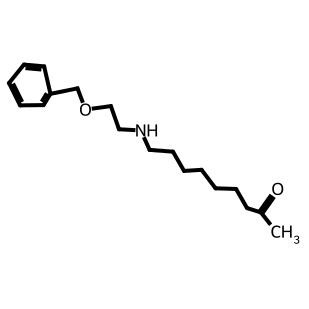 CC(=O)CCCCCCCNCCOCc1ccccc1